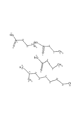 CCCC(=O)O.CCCC(=O)O.CCCC(=O)O.CCCCCCCC(C)C